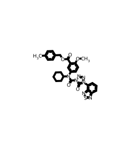 COc1ccc(N(C(=O)n2nnn(-c3cccc4nsnc34)c2=O)C2CCCCC2)cc1C(=O)OCc1ccc(C)cc1